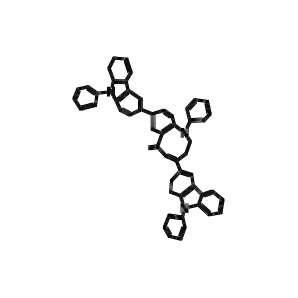 C=C1/C=C(/C2=Cc3c(n(-c4ccccc4)c4ccccc34)CC2)CCN(c2ccccc2)c2ccc(-c3ccc4c(c3)c3c(n4-c4ccccc4)CCC=C3)cc21